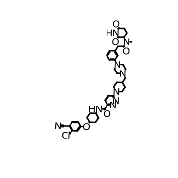 CN(C(=O)Cc1cccc(N2CCN(CC3CCN(c4ccc(C(=O)NC5CCC(Oc6ccc(C#N)c(Cl)c6)CC5)nn4)CC3)CC2)c1)C1CCC(=O)NC1=O